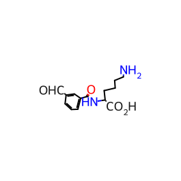 NCCCCC(NC(=O)c1cccc(C=O)c1)C(=O)O